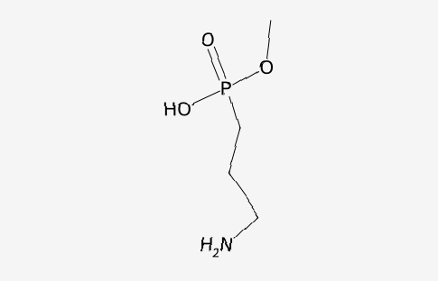 COP(=O)(O)CCCN